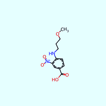 COCCCNc1ccc(C(=O)O)cc1[N+](=O)[O-]